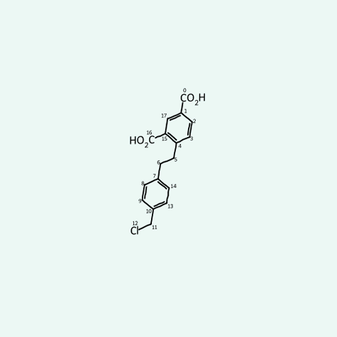 O=C(O)c1ccc(CCc2ccc(CCl)cc2)c(C(=O)O)c1